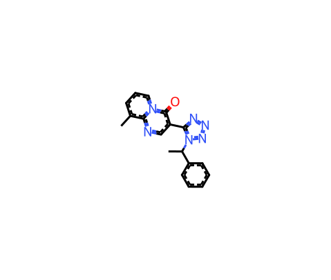 Cc1cccn2c(=O)c(-c3nnnn3C(C)c3ccccc3)cnc12